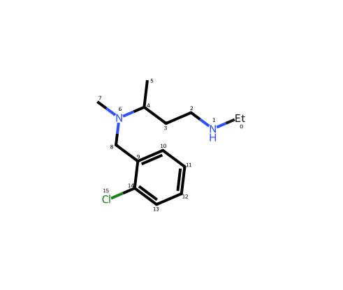 CCNCCC(C)N(C)Cc1ccccc1Cl